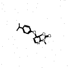 CC(C)c1ccc(Oc2ccnc3c2oc(=O)n3C)cc1